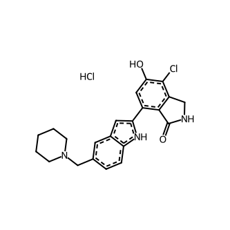 Cl.O=C1NCc2c(Cl)c(O)cc(-c3cc4cc(CN5CCCCC5)ccc4[nH]3)c21